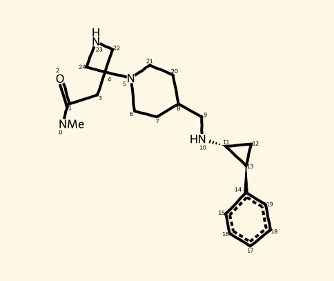 CNC(=O)CC1(N2CCC(CN[C@@H]3C[C@H]3c3ccccc3)CC2)CNC1